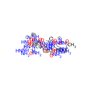 CC(C)C[C@H](NC(=O)[C@H](CCC(N)=O)NC(=O)C(CCCNC(=N)N)NC(=O)[C@@H]1CCCN1C(=O)[C@@H](NC(=O)CNC(=O)[C@H](CC(C)C)NC(=O)[C@H](Cc1c[nH]c2ccccc12)NC(=O)[C@H](CC(=O)O)NC(=O)[C@H](CCC(N)=O)NC(=O)[C@H](CC(N)=O)NC(=O)[C@H](CCCNC(=N)N)NC(=O)[C@@H]1CCCN1C(=O)CNC(=O)[C@@H](C)CCC(=O)O)C(C)C)C(=O)O